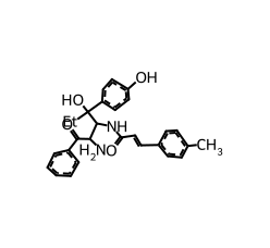 CCC(O)(c1ccc(O)cc1)C(NC(=O)C=Cc1ccc(C)cc1)C(N)C(=O)c1ccccc1